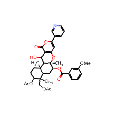 COc1cccc(C(=O)O[C@H]2CC3[C@](C)(CC[C@H](OC(C)=O)[C@@]3(C)COC(C)=O)C3[C@@H](O)c4c(cc(-c5cccnc5)oc4=O)O[C@@]32C)c1